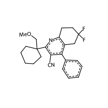 COCC1(c2nc3c(c(-c4ccccc4)c2C#N)CC(F)(F)CC3)CCCCC1